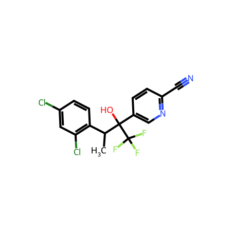 CC(c1ccc(Cl)cc1Cl)C(O)(c1ccc(C#N)nc1)C(F)(F)F